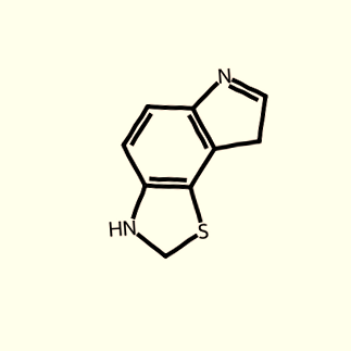 C1=Nc2ccc3c(c2C1)SCN3